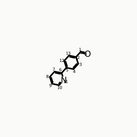 O=[C]c1ccc(-c2ccccn2)cc1